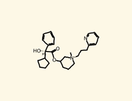 C[N+]1(CCCc2ccccn2)CCCC(OC(=O)[C@](O)(c2ccccc2)C2CCCC2)C1